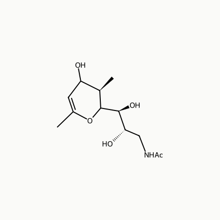 CC(=O)NC[C@H](O)[C@H](O)C1OC(C)=CC(O)[C@H]1C